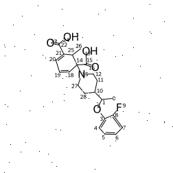 CC(Oc1ccccc1F)C1CCN(C2(C(=O)O)C=CC=C(C(=O)O)C2C)CC1